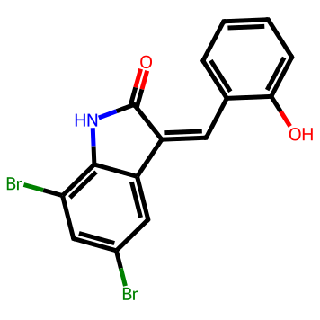 O=C1Nc2c(Br)cc(Br)cc2C1=Cc1ccccc1O